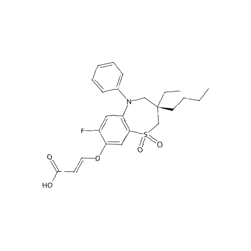 CCCC[C@]1(CC)CN(c2ccccc2)c2cc(F)c(O/C=C/C(=O)O)cc2S(=O)(=O)C1